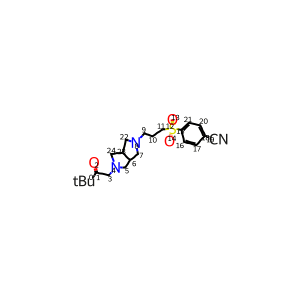 CC(C)(C)C(=O)CN1CC2CN(CCCS(=O)(=O)c3ccc(C#N)cc3)CC2C1